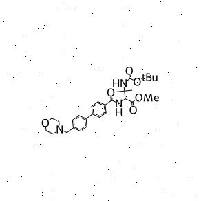 COC(=O)C(NC(=O)c1ccc(-c2ccc(CN3CCOCC3)cc2)cc1)C(C)(C)NC(=O)OC(C)(C)C